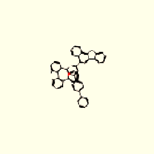 C1=C(c2ccc(-c3ccccc3)cc2)CC(c2cccc3oc4cccc(-c5ccccc5)c4c23)N=C1c1cc2c(c3ccccc13)Cc1ccccc1-2